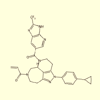 C=CC(=O)N1CCc2nn(-c3ccc(C4CC4)cc3)c3c2[C@@H](C1)N(C(=O)c1cnc2[nH]c(C(F)(F)F)nc2c1)CC3